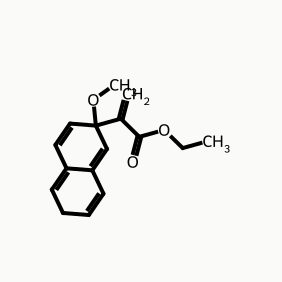 C=C(C(=O)OCC)C1(OC)C=CC2=CCC=CC2=C1